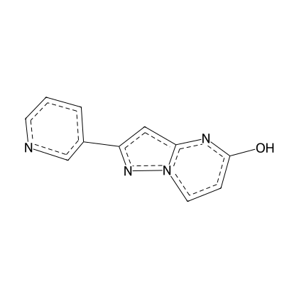 Oc1ccn2nc(-c3cccnc3)cc2n1